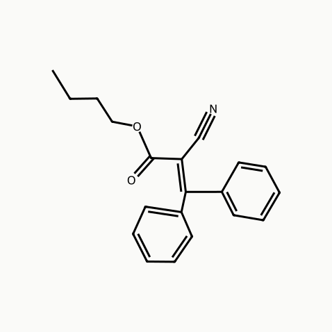 CCCCOC(=O)C(C#N)=C(c1ccccc1)c1ccccc1